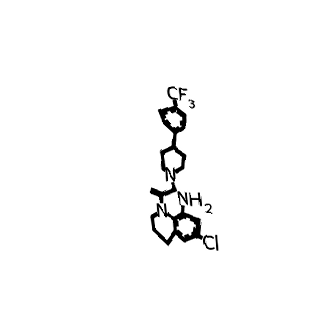 C=C(CN1CCC(c2ccc(C(F)(F)F)cc2)CC1)N1CCCc2cc(Cl)cc(N)c21